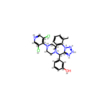 Cc1cccc(C)c1-n1nnnc1C(c1cccc(O)c1)N1CCN(c2c(Cl)cncc2Cl)CC1